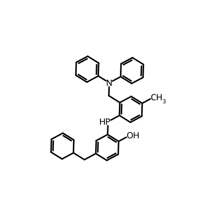 Cc1ccc(Pc2cc(CC3C=CC=CC3)ccc2O)c(CN(c2ccccc2)c2ccccc2)c1